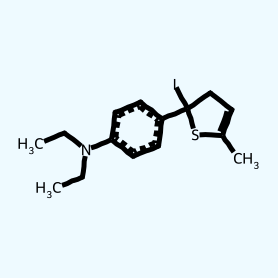 CCN(CC)c1ccc(C2(I)CC=C(C)S2)cc1